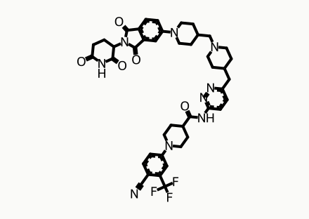 N#Cc1ccc(N2CCC(C(=O)Nc3ccc(CC4CCN(CC5CCN(c6ccc7c(c6)C(=O)N(C6CCC(=O)NC6=O)C7=O)CC5)CC4)nn3)CC2)cc1C(F)(F)F